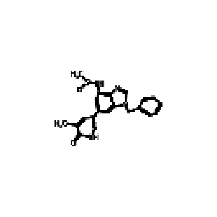 Cc1cc(-c2cc(N[S+](C)[O-])c3ncn(Cc4ccccc4)c3c2)c[nH]c1=O